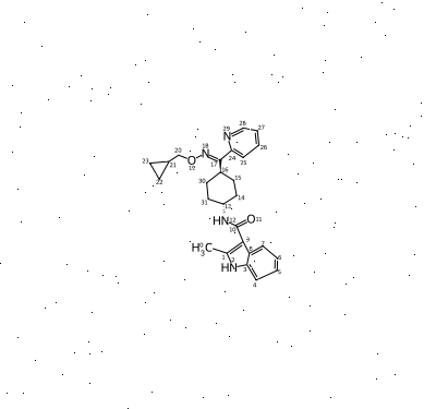 Cc1[nH]c2ccccc2c1C(=O)N[C@H]1CC[C@H](/C(=N\OCC2CC2)c2ccccn2)CC1